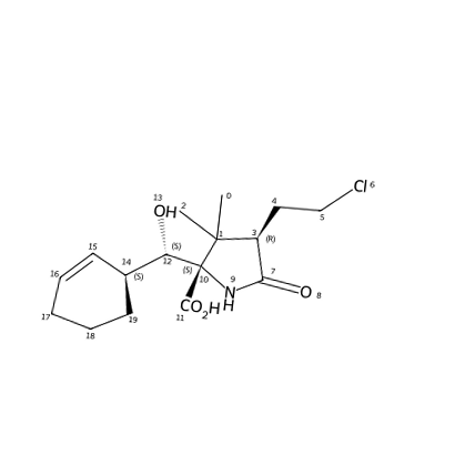 CC1(C)[C@@H](CCCl)C(=O)N[C@]1(C(=O)O)[C@@H](O)[C@@H]1C=CCCC1